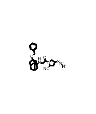 N#CC1CC(N=[N+]=[N-])CN1C(=O)CNC12CC3CC(C1)CC(OCc1ccccc1)(C3)C2